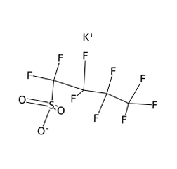 O=S(=O)([O-])C(F)(F)C(F)(F)C(F)(F)C(F)(F)F.[K+]